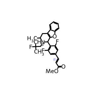 COC(=O)/C=C/c1cc(F)c(C2c3oc4ccccc4c3CC(C)N2CC(C)(C)F)c(F)c1